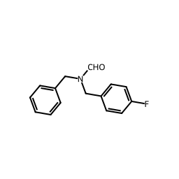 O=CN(Cc1ccccc1)Cc1ccc(F)cc1